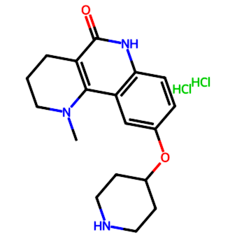 CN1CCCc2c1c1cc(OC3CCNCC3)ccc1[nH]c2=O.Cl.Cl